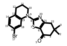 CC1(C)CC(=O)c2sc(N3CCCc4ccc(Br)cc43)nc2C1